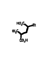 [CH2]C(CC(CC)C(=O)O)C(=O)O